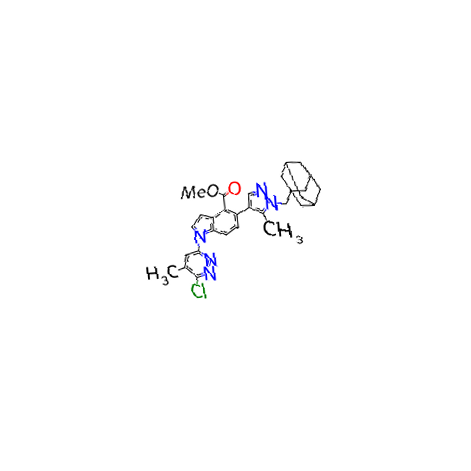 COC(=O)c1c(-c2cnn(CC34CC5CC(CC(C5)C3)C4)c2C)ccc2c1ccn2-c1cc(C)c(Cl)nn1